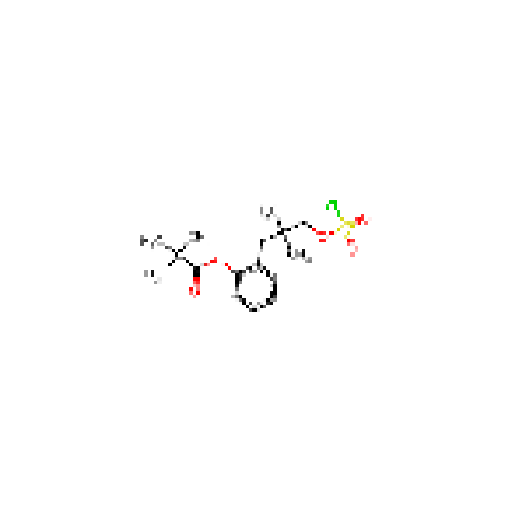 CC(C)(COS(=O)(=O)Cl)Cc1ccccc1OC(=O)C(C)(C)C